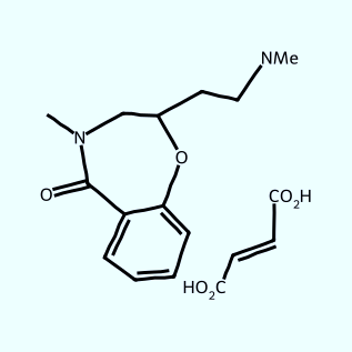 CNCCC1CN(C)C(=O)c2ccccc2O1.O=C(O)C=CC(=O)O